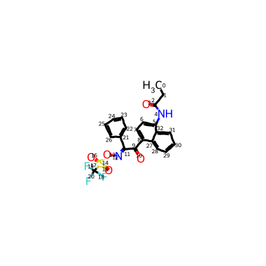 CCC(=O)Nc1ccc(C(=O)/C(=N/OS(=O)(=O)C(F)(F)F)c2ccccc2)c2ccccc12